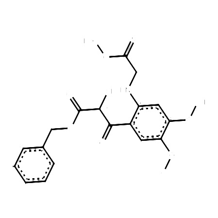 C=C(CNc1cc(OC)c(OC)cc1C(=O)C(C)C(=O)OCc1ccccc1)OC